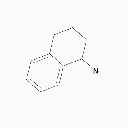 [N]C1CCCc2ccccc21